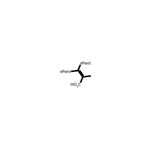 CCCCCC(CCCCC)=C(C)C(=O)O